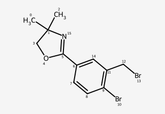 CC1(C)COC(c2ccc(Br)c(CBr)c2)=N1